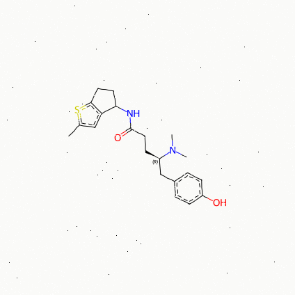 Cc1cc2c(s1)CCC2NC(=O)CC[C@H](Cc1ccc(O)cc1)N(C)C